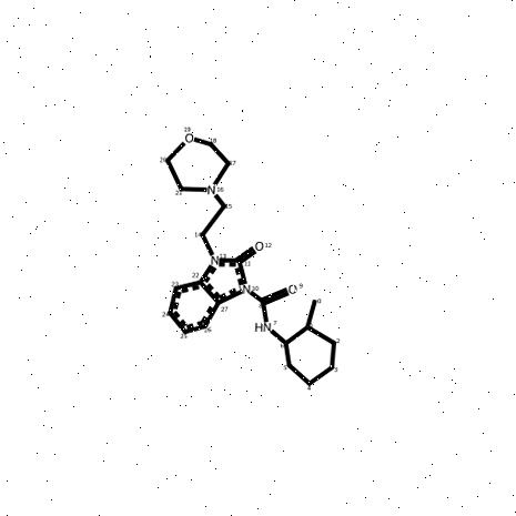 CC1CCCCC1NC(=O)n1c(=O)n(CCN2CCOCC2)c2ccccc21